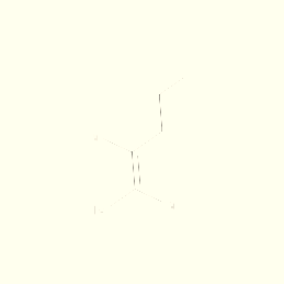 [S]CCC(Br)=C(Br)Br